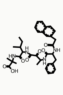 CCC(C)C(NC(=O)C(=O)C(C)NC(=O)C(Cc1ccccc1)NC(=O)Cc1ccc2ccccc2c1)C(=O)NC(C)(C)C(=O)O